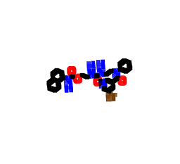 O=C(NCCOC(=O)Nc1cccc2ccccc12)NCCN(C(=O)c1cncc(Br)c1)c1ccccc1